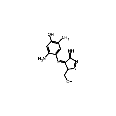 Cc1cc(N=C2C(=N)N=NC2CO)c(N)cc1O